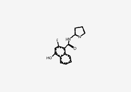 O=C(NC1CCC[N]1)c1c(F)cc(O)c2ccccc12